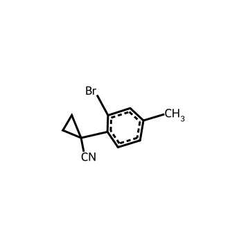 Cc1ccc(C2(C#N)CC2)c(Br)c1